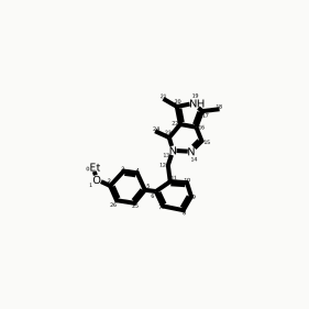 CCOc1ccc(-c2ccccc2CN2N=Cc3c(C)[nH]c(C)c3C2C)cc1